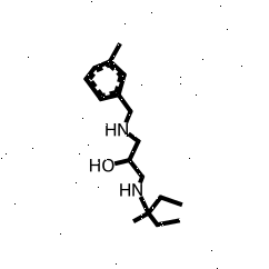 CCC(C)(CC)NCC(O)CNCc1cccc(C)c1